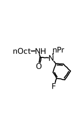 CCCCCCCCNC(=O)N(CCC)c1cccc(F)c1